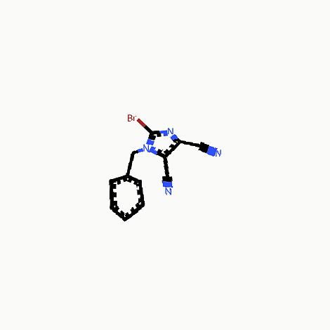 N#Cc1nc(Br)n(Cc2ccccc2)c1C#N